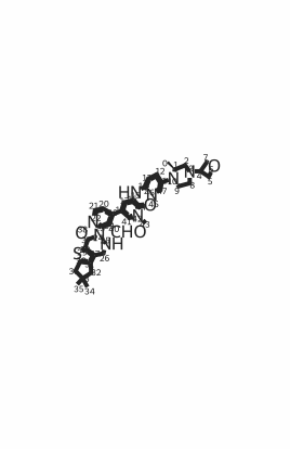 C[C@H]1CN(C2COC2)CCN1c1ccc(Nc2cc(-c3ccnc(N4NCc5c(sc6c5CC(C)(C)C6)C4=O)c3C=O)cn(C)c2=O)nc1